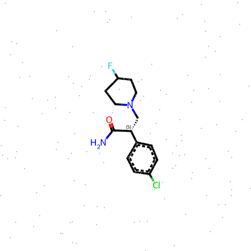 NC(=O)[C@H](CN1CCC(F)CC1)c1ccc(Cl)cc1